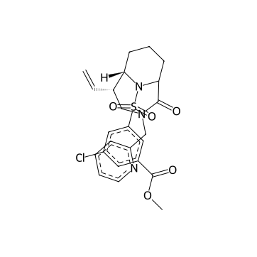 C=C[C@H]1CN(Cc2ccccn2)C(=O)C2CCC[C@@H]1N2S(=O)(=O)c1cc(Cl)cc(C(=O)OC)c1